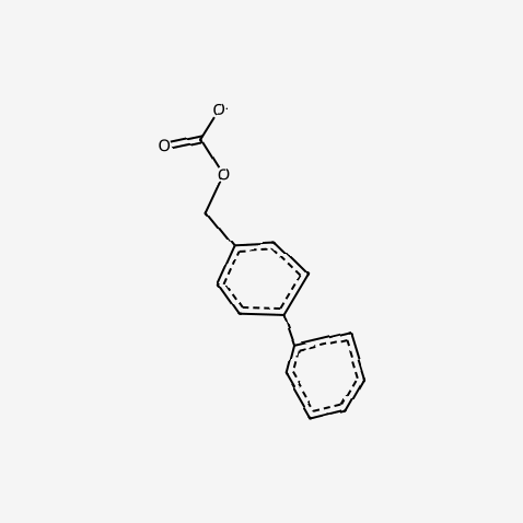 [O]C(=O)OCc1ccc(-c2ccccc2)cc1